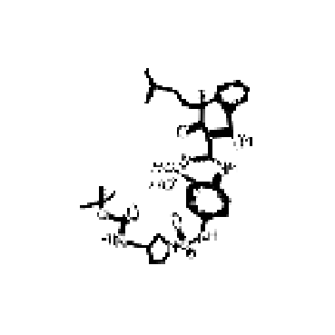 CC(C)CCC1(C)C(=O)C(C2=NS(O)(O)c3cc(NS(=O)(=O)N4CCC(NC(=O)OC(C)(C)C)C4)ccc3N2)=C(O)c2ccccc21